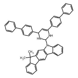 CC1(C)c2ccccc2-c2cc3c4ccccc4n(C4NC(c5ccc(-c6ccccc6)cc5)=CC(c5ccc(-c6ccccc6)cc5)N4)c3cc21